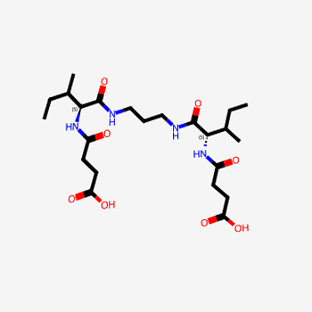 CCC(C)[C@H](NC(=O)CCC(=O)O)C(=O)NCCCNC(=O)[C@@H](NC(=O)CCC(=O)O)C(C)CC